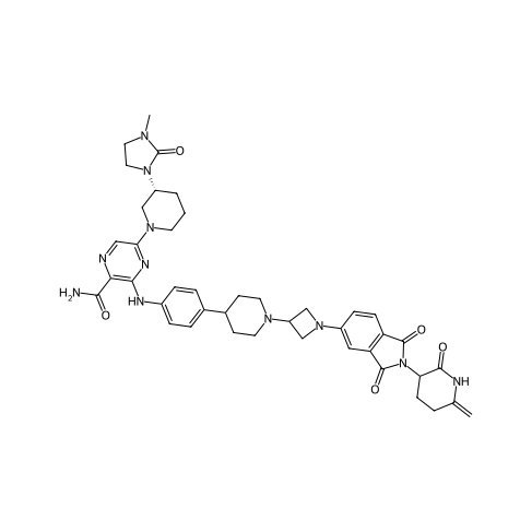 C=C1CCC(N2C(=O)c3ccc(N4CC(N5CCC(c6ccc(Nc7nc(N8CCC[C@@H](N9CCN(C)C9=O)C8)cnc7C(N)=O)cc6)CC5)C4)cc3C2=O)C(=O)N1